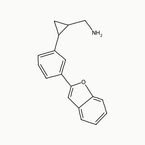 NCC1CC1c1cccc(-c2cc3ccccc3o2)c1